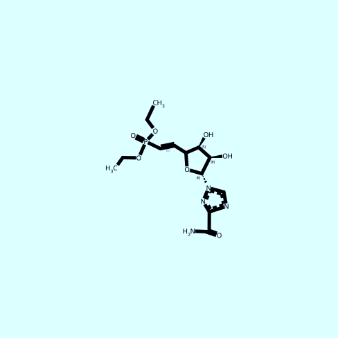 CCOP(=O)(/C=C/C1O[C@@H](n2cnc(C(N)=O)n2)[C@H](O)[C@@H]1O)OCC